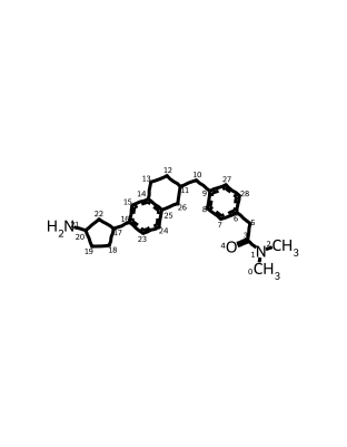 CN(C)C(=O)Cc1ccc(CC2CCc3cc(C4CCC(N)C4)ccc3C2)cc1